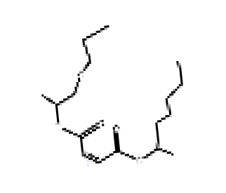 CCCCCC(C)OC(=O)/C=C\C(=O)OC(C)CCCCC